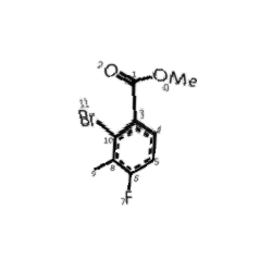 COC(=O)c1ccc(F)c(C)c1Br